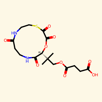 CC(C)(COC(=O)CCC(=O)O)[C@H]1OC(=O)C(=O)SCCNC(=O)CCNC1=O